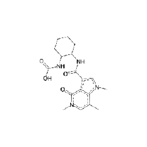 Cc1cn(C)c(=O)c2c(C(=O)NC3CCCCC3NC(=O)O)cn(C)c12